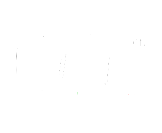 N#CC(Cc1ccccc1)C(=O)Cl